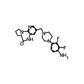 Nc1ccc(N2CCN(Cc3cnc4c(c3)NC(=O)C3CCCN43)CC2)c(F)c1F